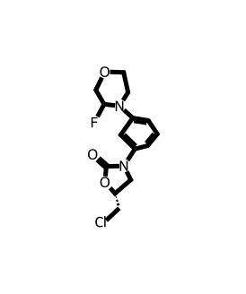 O=C1O[C@@H](CCl)CN1c1cccc(N2CCOCC2F)c1